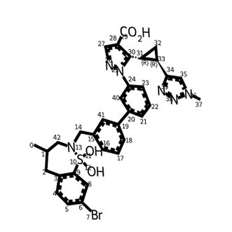 CC1Cc2ccc(Br)cc2S(O)(O)N(Cc2cccc(-c3cccc(-n4ncc(C(=O)O)c4[C@@H]4C[C@H]4c4cn(C)nn4)c3)c2)C1